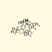 C/C=C(\C)Nc1cc2c(cc1NC)C(C)(C)CCC2(C)C